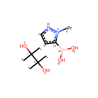 CC(C)(O)C(C)(C)O.CC(C)n1nccc1B(O)O